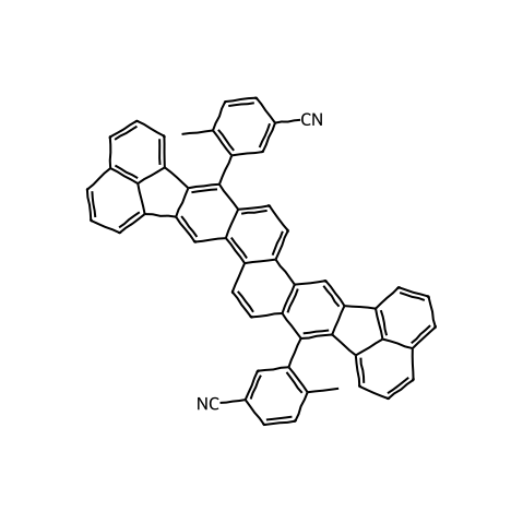 Cc1ccc(C#N)cc1-c1c2c(cc3c1ccc1c4cc5c(c(-c6cc(C#N)ccc6C)c4ccc31)-c1cccc3cccc-5c13)-c1cccc3cccc-2c13